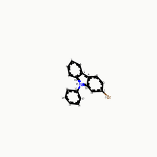 Brc1ccc2c3ccccc3n(-c3ccccc3)c2c1